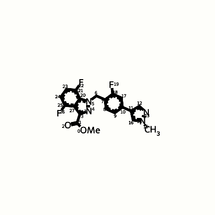 COC(=O)c1nn(Cc2ccc(-c3cnn(C)c3)cc2F)c2c(F)ccc(F)c12